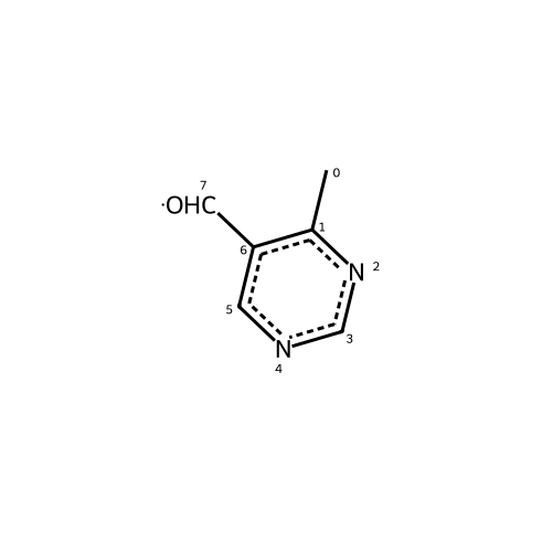 Cc1ncncc1[C]=O